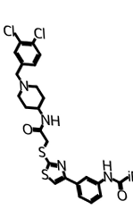 CC(C)C(=O)Nc1cccc(-c2csc(SCC(=O)NC3CCN(Cc4ccc(Cl)c(Cl)c4)CC3)n2)c1